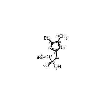 CCc1sc(CP(=O)(O)OC(C)CC)nc1C